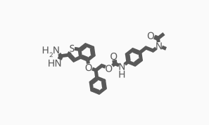 CC(=O)N(C)CCc1ccc(NC(=O)OCC(Oc2cccc3sc(C(=N)N)cc23)c2ccccc2)cc1